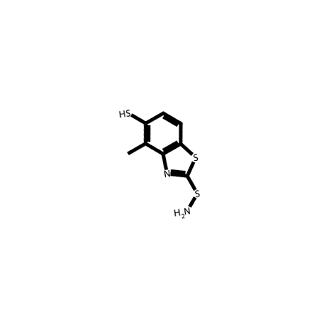 Cc1c(S)ccc2sc(SN)nc12